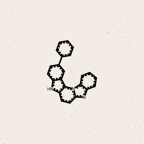 c1ccc(-c2ccc3[nH]c4ccc5nc6ccccc6n5c4c3c2)cc1